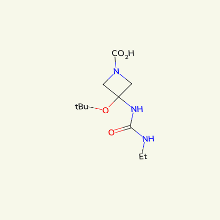 CCNC(=O)NC1(OC(C)(C)C)CN(C(=O)O)C1